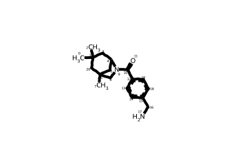 CC1(C)CC2CC(C)(CN2C(=O)c2ccc(CN)cc2)C1